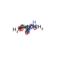 CC(=O)Nc1ccc(-c2nc(N3CCOCC3)c3sc(-c4cccc(S(C)(=O)=O)c4)cc3n2)cn1